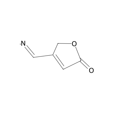 [N]=CC1=CC(=O)OC1